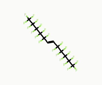 FC(F)(F)C(F)(F)C(F)(F)C(F)(F)C(F)(F)C=CC(F)(F)C(F)(F)C(F)(F)C(F)(F)C(F)(F)F